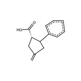 C=C1CC(c2ccccc2)[C@@H](C(=O)O)C1